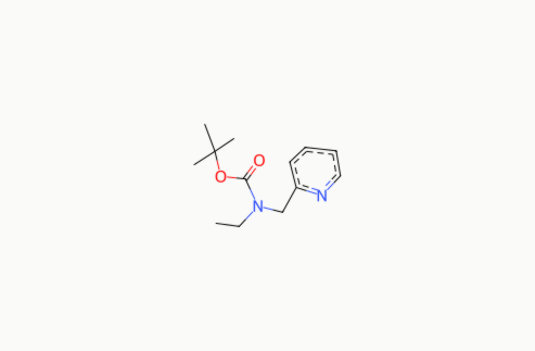 CCN(Cc1ccccn1)C(=O)OC(C)(C)C